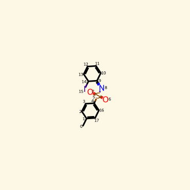 Cc1ccc(S(=O)(=O)N=C2C=CC=CC2I)cc1